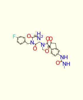 CNC(=O)Nc1ccc2c(c1)CC(=O)[C@]21OCN(CC(=O)N(Cc2ccc(F)cc2)C(=O)[C@H](C)N)C1=O